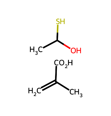 C=C(C)C(=O)O.CC(O)S